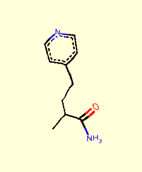 C[C](CCc1ccncc1)C(N)=O